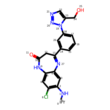 CC(C)Nc1cc2c(cc1Cl)NC(=O)CC(c1cccc(-n3nncc3CO)c1)=N2